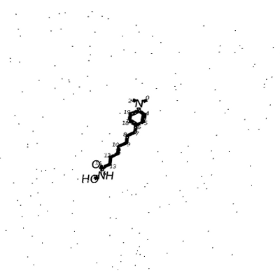 CN(C)c1ccc(CCCCCCCC(=O)NO)cc1